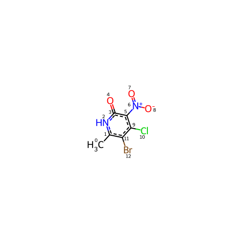 Cc1[nH]c(=O)c([N+](=O)[O-])c(Cl)c1Br